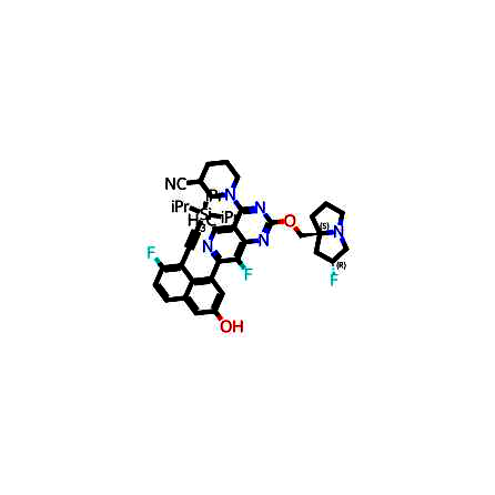 Cc1nc(-c2cc(O)cc3ccc(F)c(C#C[Si](C(C)C)(C(C)C)C(C)C)c23)c(F)c2nc(OC[C@@]34CCCN3C[C@H](F)C4)nc(N3CCCC(C#N)C3)c12